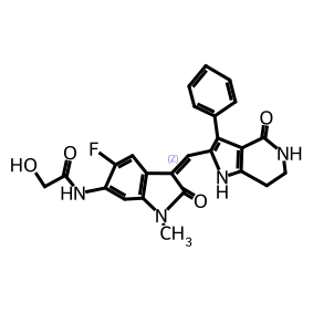 CN1C(=O)/C(=C\c2[nH]c3c(c2-c2ccccc2)C(=O)NCC3)c2cc(F)c(NC(=O)CO)cc21